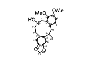 COc1ccc2c(c1OC)CN(O)CCc1cc3c(cc1C(C)C2)OCO3